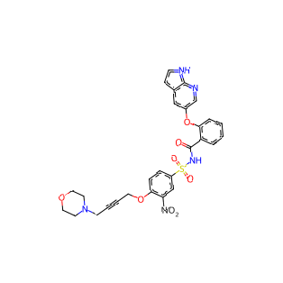 O=C(NS(=O)(=O)c1ccc(OCC#CCN2CCOCC2)c([N+](=O)[O-])c1)c1ccccc1Oc1cnc2[nH]ccc2c1